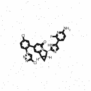 Nc1ccc(-c2cnc([C@@H]3[C@H]4C[C@H]4c4cc(-c5cc(Cl)ccc5-n5cc(Cl)nn5)cc(=O)n43)[nH]2)c(F)n1